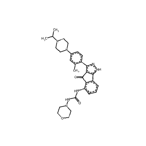 Cc1cc(N2CCN(C(C)C)CC2)ccc1-c1n[nH]c2c1C(=O)c1c(NC(=O)NN3CCOCC3)cccc1-2